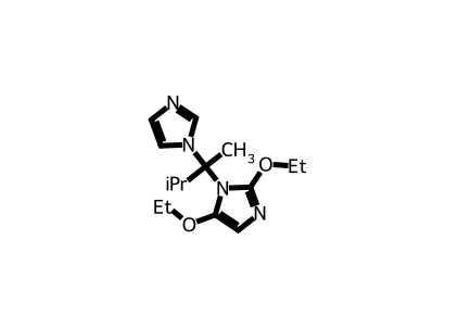 CCOc1cnc(OCC)n1C(C)(C(C)C)n1ccnc1